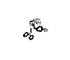 C=CCB(c1ccccc1)c1ccccc1.CCCc1cnc(Cc2ccc(Br)cc2)[nH]1